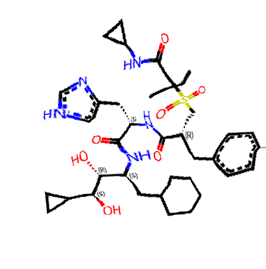 CC(C)(C(=O)NC1CC1)S(=O)(=O)C[C@H](Cc1ccccc1)C(=O)N[C@@H](Cc1c[nH]cn1)C(=O)N[C@@H](CC1CCCCC1)[C@@H](O)[C@@H](O)C1CC1